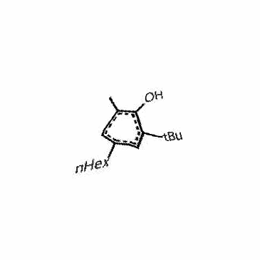 CCCCCCc1cc(C)c(O)c(C(C)(C)C)c1